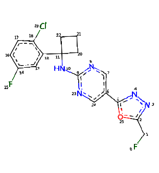 FCc1nnc(-c2cnc(NC3(c4cc(F)ccc4Cl)CCC3)nc2)o1